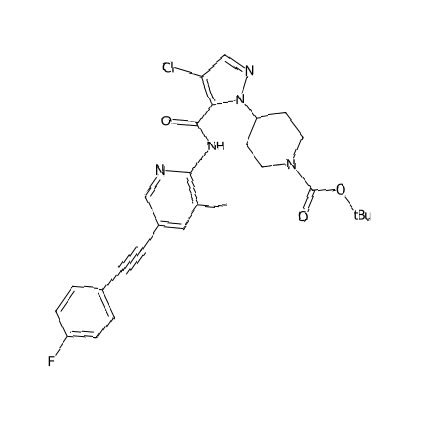 Cc1cc(C#Cc2ccc(F)cc2)cnc1NC(=O)c1c(Cl)cnn1C1CCN(C(=O)OC(C)(C)C)CC1